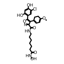 COC1=CC=C(c2c(C(=O)NCCCCCCC(=O)NO)noc2-c2cc(Cl)c(O)cc2O)CC1